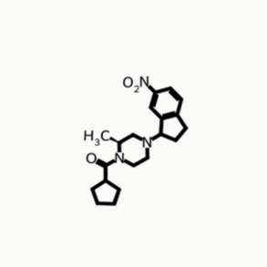 C[C@H]1CN(C2CCc3ccc([N+](=O)[O-])cc32)CCN1C(=O)C1CCCC1